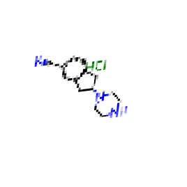 Cl.N#Cc1ccc2c(c1)CC(N1CCNCC1)C2